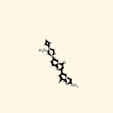 Cc1cn2cc(-c3cc(=O)n4cc(N5CCN(C6CCC6)[C@@H](C)C5)ccc4n3)cc(F)c2n1